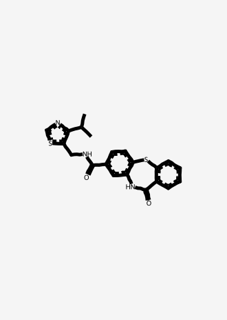 CC(C)c1ncsc1CNC(=O)c1ccc2c(c1)NC(=O)c1ccccc1S2